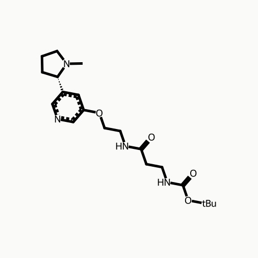 CN1CCC[C@H]1c1cncc(OCCNC(=O)CCNC(=O)OC(C)(C)C)c1